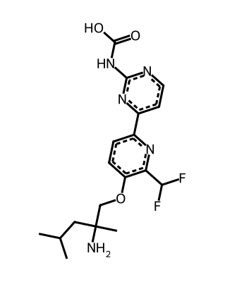 CC(C)CC(C)(N)COc1ccc(-c2ccnc(NC(=O)O)n2)nc1C(F)F